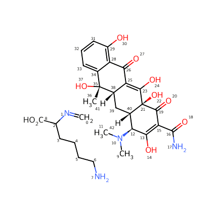 C=NC(CCCCN)C(=O)O.CN(C)[C@@H]1C(O)=C(C(N)=O)C(=O)[C@@]2(O)C(O)=C3C(=O)c4c(O)cccc4[C@@](C)(O)[C@H]3C[C@@H]12